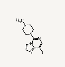 CN1CCN(c2ncc(I)c3nccn23)CC1